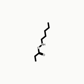 CCCCCNOC(=O)CC